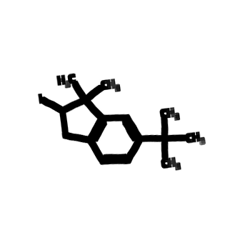 CC(C)(C)c1ccc2c(c1)C(C)(C)C(I)C2